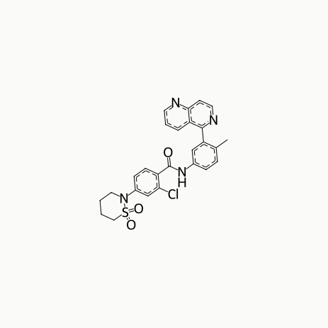 Cc1ccc(NC(=O)c2ccc(N3CCCCS3(=O)=O)cc2Cl)cc1-c1nccc2ncccc12